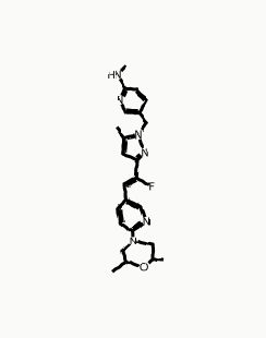 CNc1ccc(Cn2nc(C(F)=Cc3ccc(N4CC(C)OC(C)C4)nc3)cc2C)cn1